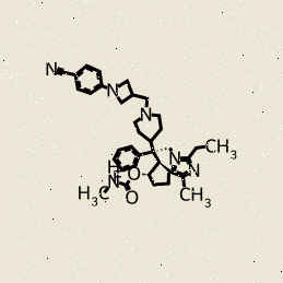 CCc1nc(C)cn1C[C@](c1cccc(F)c1)(C1CCN(CC2CN(c3ccc(C#N)cc3)C2)CC1)[C@H]1CCC[C@@H]1OC(=O)NC